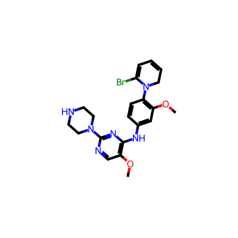 COc1cc(Nc2nc(N3CCNCC3)ncc2OC)ccc1N1CC=CC=C1Br